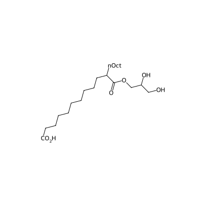 CCCCCCCCC(CCCCCCCCCC(=O)O)C(=O)OCC(O)CO